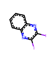 Ic1nc2ccccc2nc1I